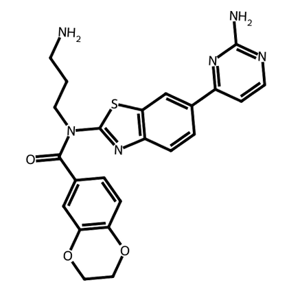 NCCCN(C(=O)c1ccc2c(c1)OCCO2)c1nc2ccc(-c3ccnc(N)n3)cc2s1